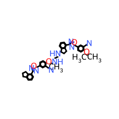 CC(C)Oc1ccc(-c2nc(-c3cccc4c3CCC4NCCNC(C)Oc3ccc(-c4nc(-c5cccc6c5CCC6)no4)cc3C#N)no2)cc1C#N